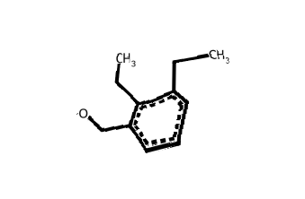 CCc1cccc(C[O])c1CC